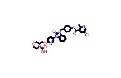 Cc1ncc(Cl)cc1C(=O)NC1CCC(Cn2c(=O)n(-c3ccc(OCC4COCCN4C(=O)O)nc3)c3ccccc32)CC1